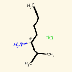 CCCC[C@@H](N)C(C)C.Cl